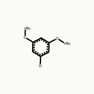 CCCCOc1cc([O])cc(OCCCC)c1